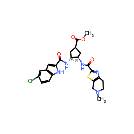 COC(=O)C1C[C@@H](NC(=O)c2cc3cc(Cl)ccc3[nH]2)[C@H](NC(=O)c2nc3c(s2)CN(C)CC3)C1